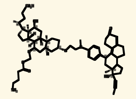 CC#C[C@]1(O)CCC2C3CCC4=CC(=O)CCC4=C3[C@H](c3ccc(N(C)CCO[C@H]4CC[C@@]5(C)[C@@H](C4)C[C@@H](OCOC(=O)CCCN)[C@@H]4[C@@H]5C[C@H](O)[C@]5(C)[C@@H]([C@H](C)CCC(=O)O)CC[C@@H]45)cc3)C[C@@]21C